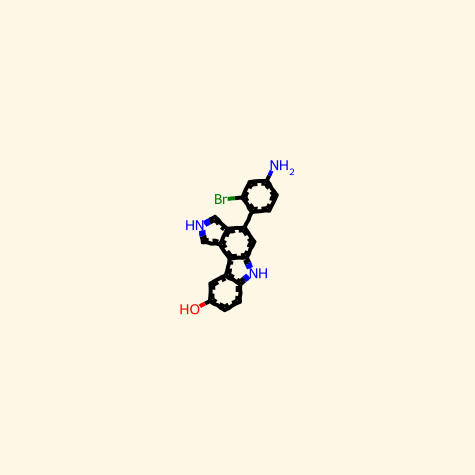 Nc1ccc(-c2cc3[nH]c4ccc(O)cc4c3c3c[nH]cc23)c(Br)c1